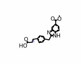 COC(=O)c1ccc2[nH]c(Cc3ccc(/C=C/C(=O)O)cc3)nc2c1